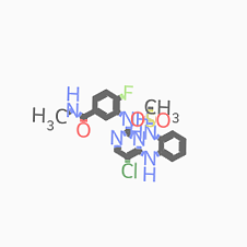 CNC(=O)c1ccc(F)c(Nc2ncc(Cl)c(Nc3ccccc3NS(C)(=O)=O)n2)c1